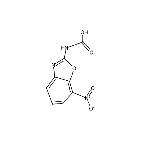 O=C(O)Nc1nc2cccc([N+](=O)[O-])c2o1